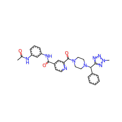 CC(=O)Nc1cccc(NC(=O)c2ccnc(C(=O)N3CCN(C(c4ccccc4)c4nnn(C)n4)CC3)c2)c1